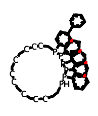 c1ccc(-c2ccc(P3CCCCCCCCCCCCCCCCPP(c4ccccc4)P(c4ccccc4)P(c4ccccc4)P3c3ccccc3)cc2)cc1